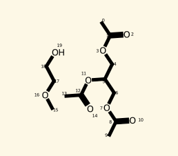 CC(=O)OCC(COC(C)=O)OC(C)=O.COCCO